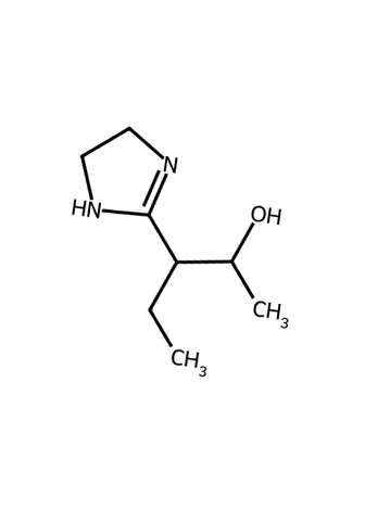 CCC(C1=NCCN1)C(C)O